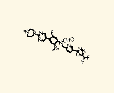 CN1CCN(c2ncc(-c3cc(N(C)C)c(N(C=O)Cc4ccc(-c5nnc(C(F)F)o5)cn4)cc3F)cn2)CC1